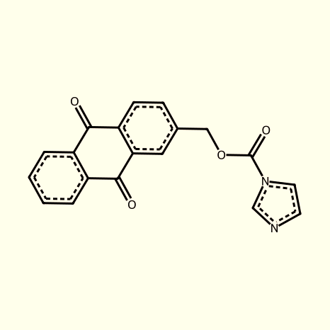 O=C1c2ccccc2C(=O)c2cc(COC(=O)n3ccnc3)ccc21